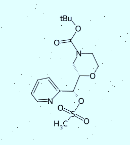 CC(C)(C)OC(=O)N1CCO[C@H]([C@H](OS(C)(=O)=O)c2ccccn2)C1